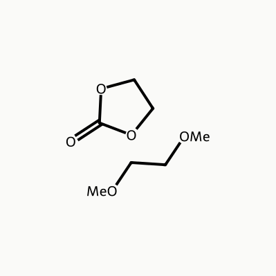 COCCOC.O=C1OCCO1